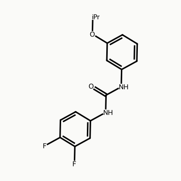 CC(C)Oc1cccc(NC(=O)Nc2ccc(F)c(F)c2)c1